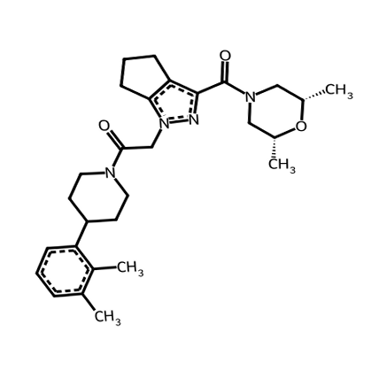 Cc1cccc(C2CCN(C(=O)Cn3nc(C(=O)N4C[C@@H](C)O[C@@H](C)C4)c4c3CCC4)CC2)c1C